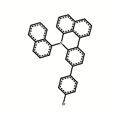 Brc1ccc(-c2ccc3c(c2)N(c2cccc4ccccc24)c2cccc4cccc-3c24)cc1